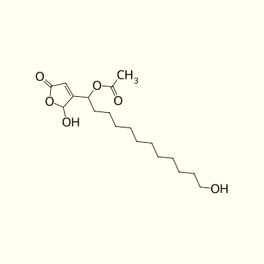 CC(=O)OC(CCCCCCCCCCCO)C1=CC(=O)OC1O